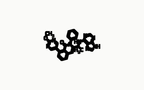 COc1ncc(-c2cccc3cc([C@H](C)Nc4ncnc5[nH]cnc45)n(-c4ccccc4)c(=O)c23)cn1